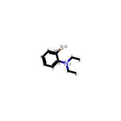 CCN(CC)c1ccccc1[S]